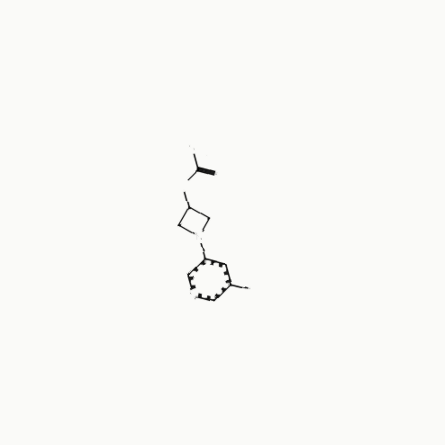 NC(=O)OC1CN(c2cncc(C(F)(F)F)c2)C1